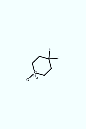 [O-][SH2+]1CCC(F)(F)CC1